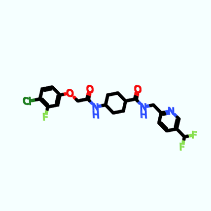 O=C(COc1ccc(Cl)c(F)c1)NC1CCC(C(=O)NCc2ccc(C(F)F)cn2)CC1